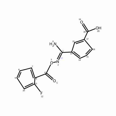 N/C(=N\OC(=O)c1ccccc1F)c1cccc(C(=O)O)c1